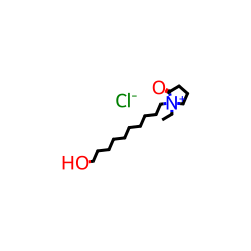 CC[N+]1(CCCCCCCCCCO)CCCC1=O.[Cl-]